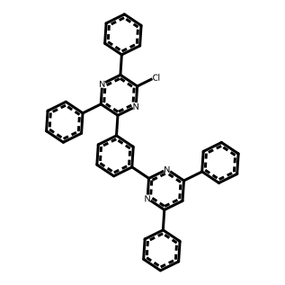 Clc1nc(-c2cccc(-c3nc(-c4ccccc4)cc(-c4ccccc4)n3)c2)c(-c2ccccc2)nc1-c1ccccc1